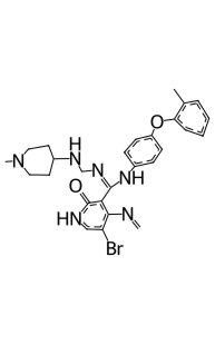 C=Nc1c(Br)c[nH]c(=O)c1/C(=N\CNC1CCN(C)CC1)Nc1ccc(Oc2ccccc2C)cc1